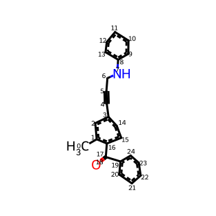 Cc1cc(C#CCNc2ccccc2)ccc1C(=O)c1ccccc1